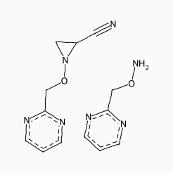 N#CC1CN1OCc1ncccn1.NOCc1ncccn1